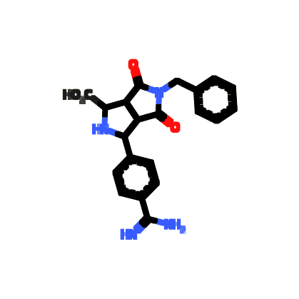 N=C(N)c1ccc(C2NC(C(=O)O)C3C(=O)N(Cc4ccccc4)C(=O)C23)cc1